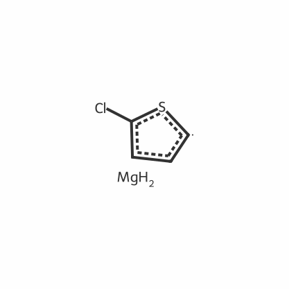 Clc1cc[c]s1.[MgH2]